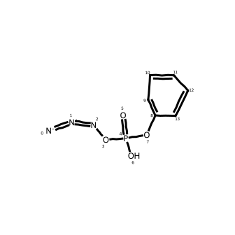 [N-]=[N+]=NOP(=O)(O)Oc1ccccc1